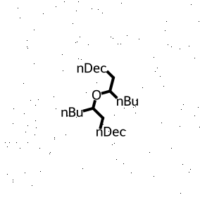 CCCCCCCCCCCC(CCCC)OC(CCCC)CCCCCCCCCCC